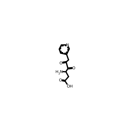 NC(CC(=O)O)C(=O)C(=O)Cc1cccnc1